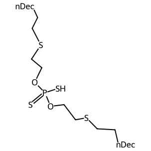 CCCCCCCCCCCCSCCOP(=S)(S)OCCSCCCCCCCCCCCC